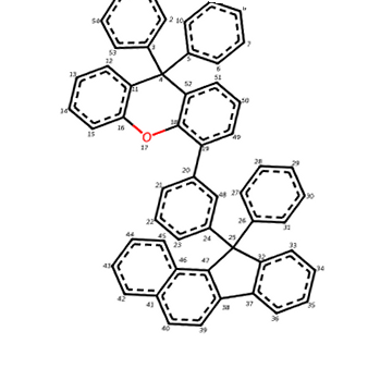 c1ccc(C2(c3ccccc3)c3ccccc3Oc3c(-c4cccc(C5(c6ccccc6)c6ccccc6-c6ccc7ccccc7c65)c4)cccc32)cc1